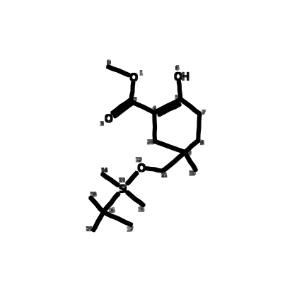 COC(=O)C1=C(O)CCC(C)(CO[Si](C)(C)C(C)(C)C)C1